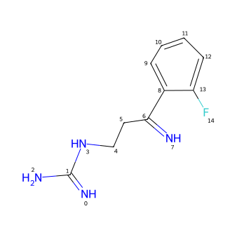 N=C(N)NCCC(=N)c1ccccc1F